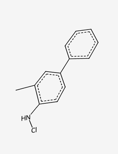 Cc1cc(-c2ccccc2)ccc1NCl